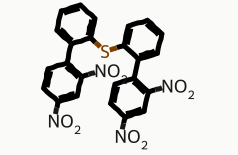 O=[N+]([O-])c1ccc(-c2ccccc2Sc2ccccc2-c2ccc([N+](=O)[O-])cc2[N+](=O)[O-])c([N+](=O)[O-])c1